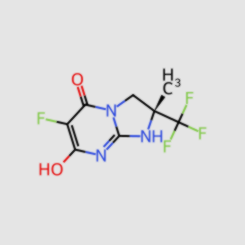 C[C@]1(C(F)(F)F)Cn2c(nc(O)c(F)c2=O)N1